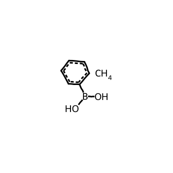 C.OB(O)c1ccccc1